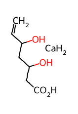 C=CC(O)CC(O)CC(=O)O.[CaH2]